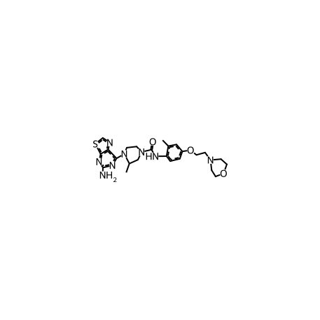 Cc1cc(OCCN2CCOCC2)ccc1NC(=O)N1CCN(c2nc(N)nc3scnc23)C(C)C1